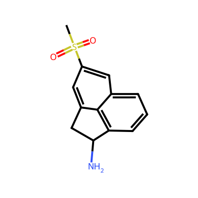 CS(=O)(=O)c1cc2c3c(cccc3c1)C(N)C2